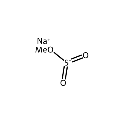 CO[S-](=O)=O.[Na+]